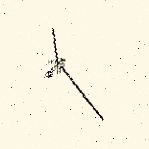 CC#CC#CC#CC#CC#CC#CC#CC#CC#CC#CC#CC#CC(=O)N[C@@H](COC[C@H]1COC(C)(C)O1)[C@H](OC(C)C)[C@H](O)CCCCCCCCCCCCCC